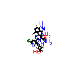 Cc1ccc2[nH]ncc2c1-c1nc(-c2cc(F)cnc2NC2CC(C)(O)C2)nc(C(N)=O)c1N